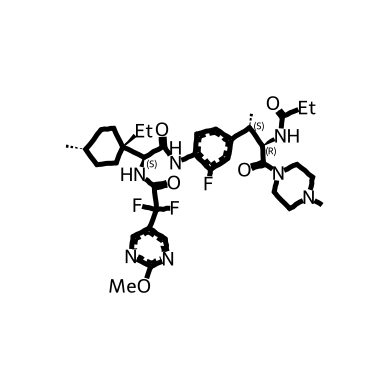 CCC(=O)N[C@@H](C(=O)N1CCN(C)CC1)[C@@H](C)c1ccc(NC(=O)[C@@H](NC(=O)C(F)(F)c2cnc(OC)nc2)[C@]2(CC)CC[C@H](C)CC2)c(F)c1